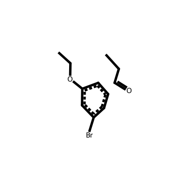 CCC=O.CCOc1cccc(Br)c1